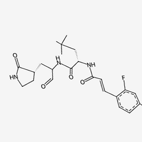 CC(C)(C)C[C@H](NC(=O)/C=C/c1ccc(Cl)cc1F)C(=O)NC(C=O)C[C@@H]1CCNC1=O